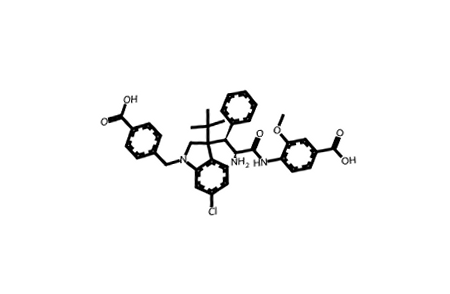 COc1cc(C(=O)O)ccc1NC(=O)[C@H](N)[C@H](c1ccccc1)C1(C(C)(C)C)CN(Cc2ccc(C(=O)O)cc2)c2cc(Cl)ccc21